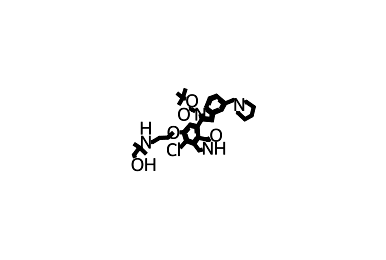 CC(C)(CO)NCCCOc1cc(-c2cc3cc(CN4CCCCC4)ccc3n2C(=O)OC(C)(C)C)c2c(c1Cl)CNC2=O